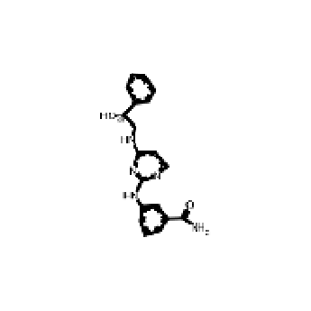 NC(=O)c1cccc(Nc2nccc(NC[C@@H](O)c3ccccc3)n2)c1